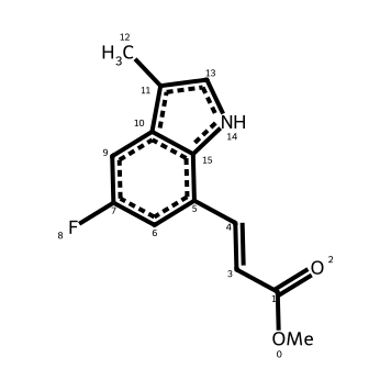 COC(=O)C=Cc1cc(F)cc2c(C)c[nH]c12